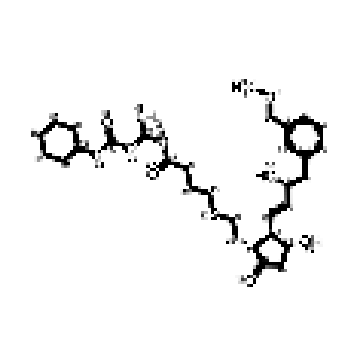 COCc1cccc(C[C@H](O)C=C[C@H]2[C@H](O)CC(=O)[C@@H]2CCSCCCC(=O)OC(C)OC(=O)OC2CCCCC2)c1